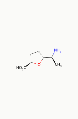 C[C@H](N)[C@H]1CC[C@H](C(=O)O)O1